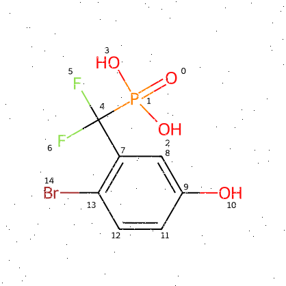 O=P(O)(O)C(F)(F)c1cc(O)ccc1Br